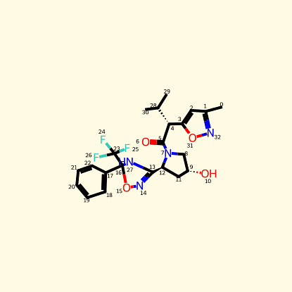 Cc1cc([C@H](C(=O)N2C[C@H](O)C[C@H]2C2=NOC(c3ccccc3)(C(F)(F)F)N2)C(C)C)on1